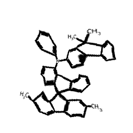 Cc1ccc2c(c1)C1(c3cc(C)ccc3-2)c2ccccc2-c2c(N(c3ccccc3)c3ccc4c(c3)C(C)(C)c3ccccc3-4)cccc21